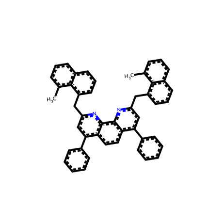 Cc1cccc2cccc(Cc3cc(-c4ccccc4)c4ccc5c(-c6ccccc6)cc(Cc6cccc7cccc(C)c67)nc5c4n3)c12